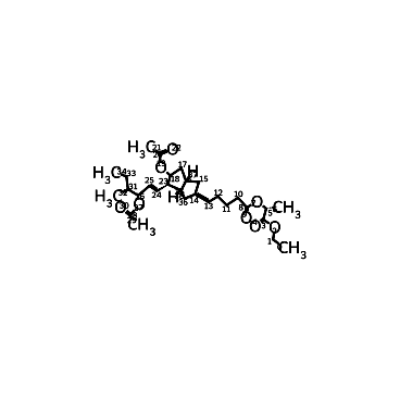 CCOC(=O)[C@@H](C)OC(=O)CCC/C=C1\C[C@H]2CC(OC(C)=O)[C@H](/C=C/[C@@H](OC(C)=O)C(C)CC)[C@H]2C1